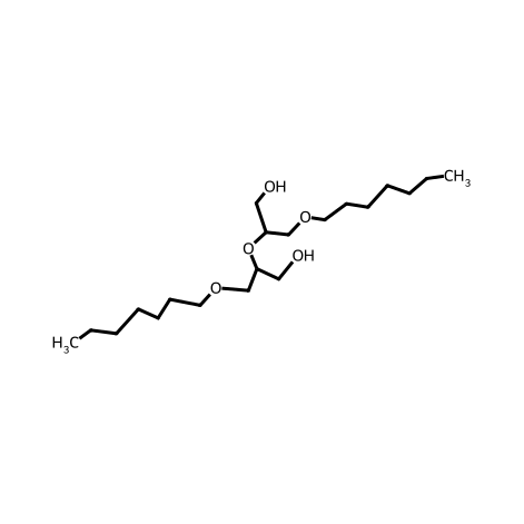 CCCCCCCOCC(CO)OC(CO)COCCCCCCC